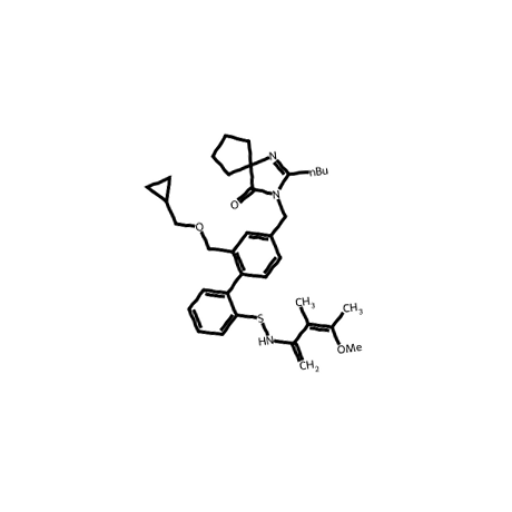 C=C(NSc1ccccc1-c1ccc(CN2C(=O)C3(CCCC3)N=C2CCCC)cc1COCC1CC1)/C(C)=C(/C)OC